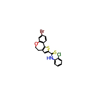 S=C(Nc1ccccc1Cl)c1cc2c(s1)-c1ccc(Br)cc1OCC2